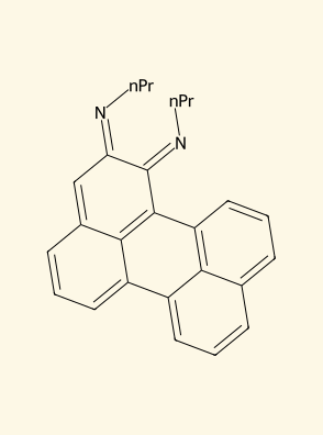 CCCN=c1cc2cccc3c4cccc5cccc(c(c1=NCCC)c23)c54